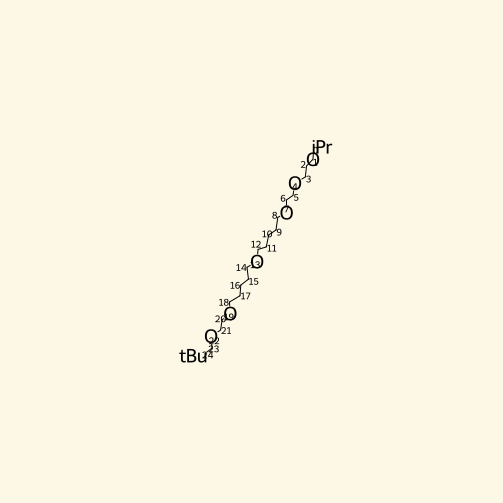 CC(C)OCCOCCOCCCCCOCCCCCOCCOCC(C)(C)C